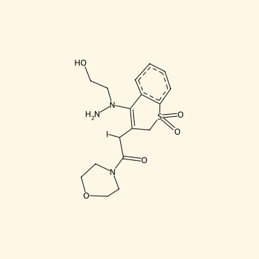 NN(CCO)C1=C(C(I)C(=O)N2CCOCC2)CS(=O)(=O)c2ccccc21